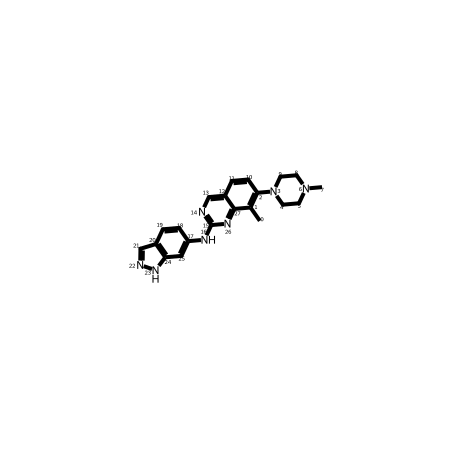 Cc1c(N2CCN(C)CC2)ccc2cnc(Nc3ccc4cn[nH]c4c3)nc12